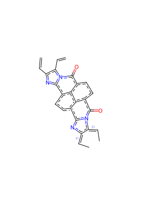 C=Cc1nc2c3ccc4c5c(ccc(c(=O)n2c1C=C)c35)c(=O)n1c(=C/C)/c(=C\C)nc41